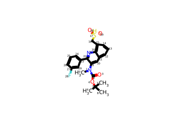 CN(C(=O)OC(C)(C)C)c1cc2cccc(C[SH](=O)=O)c2nc1-c1cccc(F)c1